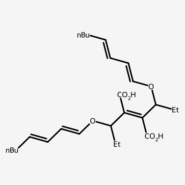 CCCCC=CC=COC(CC)C(C(=O)O)=C(C(=O)O)C(CC)OC=CC=CCCCC